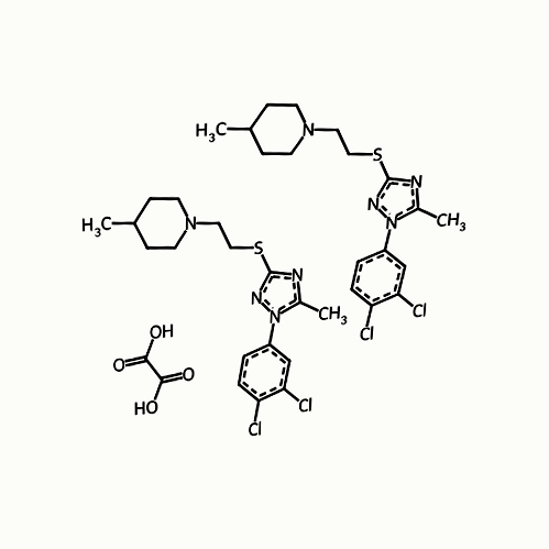 Cc1nc(SCCN2CCC(C)CC2)nn1-c1ccc(Cl)c(Cl)c1.Cc1nc(SCCN2CCC(C)CC2)nn1-c1ccc(Cl)c(Cl)c1.O=C(O)C(=O)O